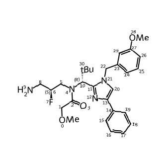 COCC(=O)N(C[C@@H](F)CN)[C@@H](c1nc(-c2ccccc2)cn1Cc1cccc(OC)c1)C(C)(C)C